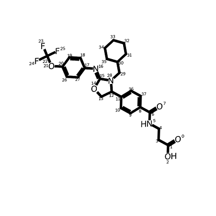 O=C(O)CCNC(=O)c1ccc(C2CO/C(=N\c3ccc(OC(F)(F)F)cc3)N2CC2CCCCC2)cc1